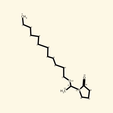 CCCCCCCCCCCCOC(C)N1CCCC1=O